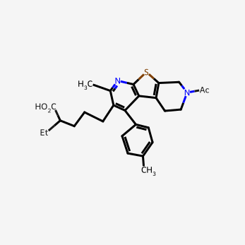 CCC(CCCc1c(C)nc2sc3c(c2c1-c1ccc(C)cc1)CCN(C(C)=O)C3)C(=O)O